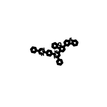 c1ccc(-c2cnc(-c3ccc(-c4nc(-c5ccccc5)cc(-c5ccc(-c6ccc7sc8ccccc8c7c6)c6oc7ccccc7c56)n4)cc3)nc2)cc1